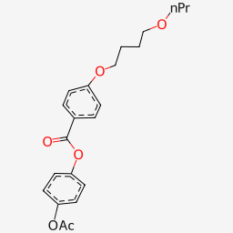 CCCOCCCCOc1ccc(C(=O)Oc2ccc(OC(C)=O)cc2)cc1